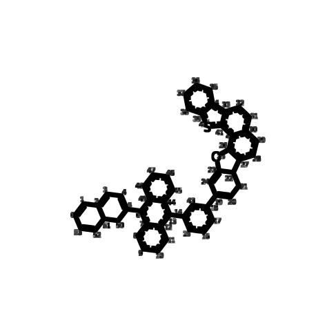 C1=CC2=CC=C(c3c4ccccc4c(-c4cccc(C5=CCC6C(=C5)Oc5c6ccc6ccc7c8ccccc8sc7c56)c4)c4ccccc34)CC2C=C1